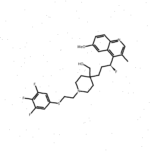 COc1ccc2ncc(C)c([C@@H](F)CCC3(CO)CCN(CCSc4cc(F)c(F)c(F)c4)CC3)c2c1